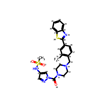 CS(=O)(=O)Nc1cnn(C(=O)N2CCN(Cc3ccc(-c4nc5ccccc5s4)cc3C(F)(F)F)CC2)c1